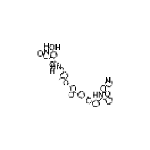 Cc1cc(CNCC(O)c2ccc(O)c3[nH]c(=O)ccc23)ccc1OCCOC(=O)c1ccc(COc2cccc([C@@H](NC(=O)OC3CN4CCC3CC4)c3ccccc3)c2)cc1